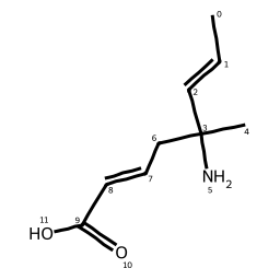 CC=CC(C)(N)CC=CC(=O)O